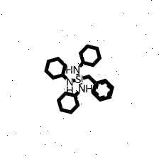 c1ccc(C[Si](NC2CCCCC2)(NC2CCCCC2)NC2CCCCC2)cc1